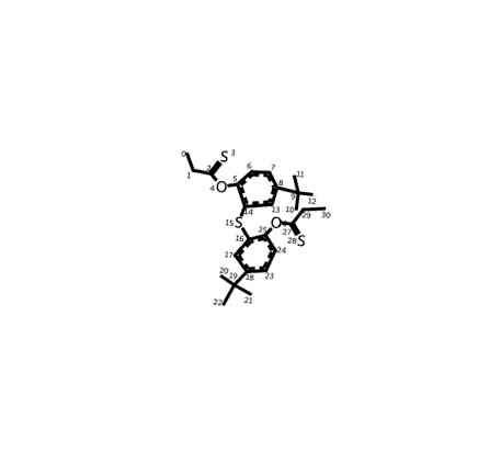 CCC(=S)Oc1ccc(C(C)(C)C)cc1Sc1cc(C(C)(C)C)ccc1OC(=S)CC